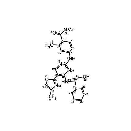 CNC(=O)c1ccc(Nc2ncc(-c3nc(C(F)(F)F)no3)c(N[C@H](CO)c3ccccc3)n2)cc1C